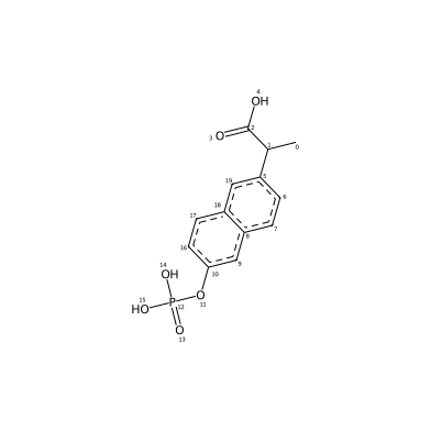 CC(C(=O)O)c1ccc2cc(OP(=O)(O)O)ccc2c1